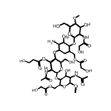 COC1OC(COC(=O)CO)C(OC2OC(CO)C(OC3CC(COC(=O)CO)C(OC4OC(CO)C(OC)C(O)C4NC(=O)CO)C(O)C3N)C(OC(=O)CCO)C2NC(C)=O)C(O)C1NC(C)=O